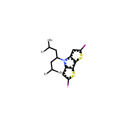 CCCCC(CC)CC(CC(CC)CCCC)n1c2cc(I)sc2c2sc(I)cc21